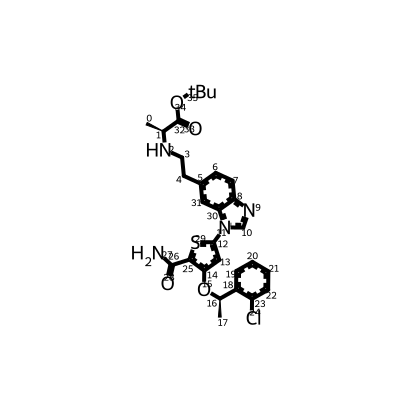 C[C@H](NCCc1ccc2ncn(-c3cc(O[C@H](C)c4ccccc4Cl)c(C(N)=O)s3)c2c1)C(=O)OC(C)(C)C